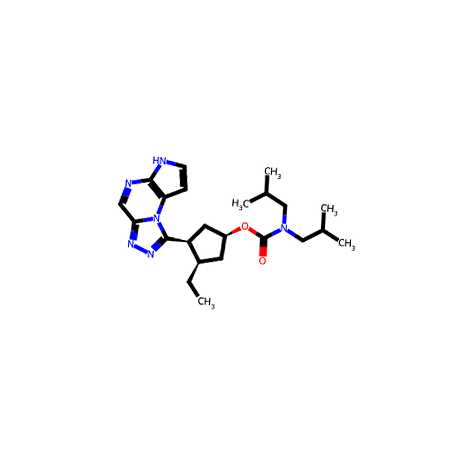 CC[C@@H]1C[C@H](OC(=O)N(CC(C)C)CC(C)C)C[C@@H]1c1nnc2cnc3[nH]ccc3n12